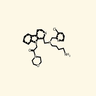 NCCCCN(Cc1ncccc1Cl)Cc1nccc2c3ccccc3n(CC(=O)N3CCOCC3)c12